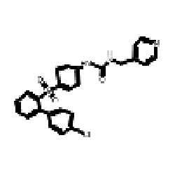 O=C(NCc1ccncc1)Nc1ccc(S(=O)(=O)c2ccccc2-c2ccc(Cl)cc2)cc1